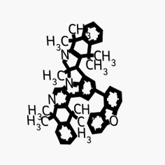 CC1(C)C2=C(C3c4cc(-c5cccc6oc7ccccc7c56)cc5c6c7c(ncc6n(c45)C3(C)C=N2)C(C)(C)c2ccccc2C7(C)C)C(C)(C)c2ccccc21